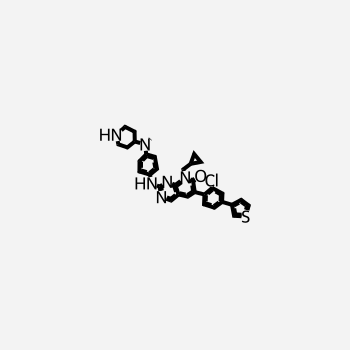 CN(c1ccc(Nc2ncc3cc(-c4ccc(-c5ccsc5)cc4Cl)c(=O)n(CC4CC4)c3n2)cc1)C1CCNCC1